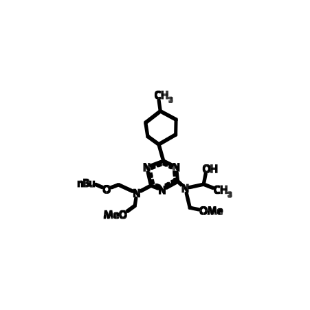 CCCCOCN(COC)c1nc(C2CCC(C)CC2)nc(N(COC)C(C)O)n1